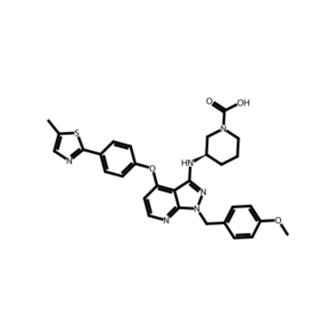 COc1ccc(Cn2nc(N[C@@H]3CCCN(C(=O)O)C3)c3c(Oc4ccc(-c5ncc(C)s5)cc4)ccnc32)cc1